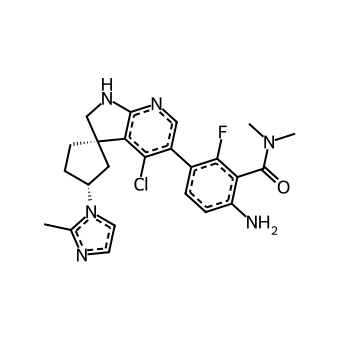 Cc1nccn1[C@@H]1CC[C@@]2(CNc3ncc(-c4ccc(N)c(C(=O)N(C)C)c4F)c(Cl)c32)C1